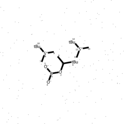 CC(OB([O-])[O-])C(C)(C)C.C[S+](C)C(C)(C)C.C[S+](C)C(C)(C)C